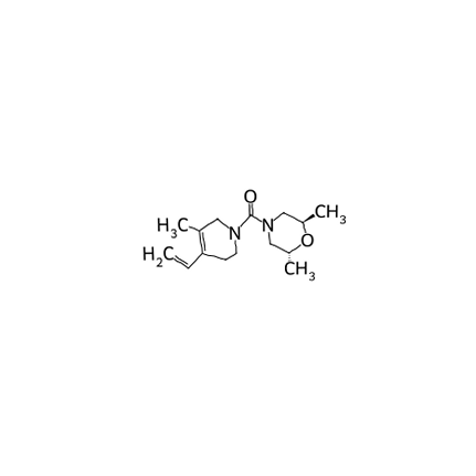 C=CC1=C(C)CN(C(=O)N2C[C@@H](C)O[C@H](C)C2)CC1